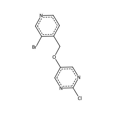 Clc1ncc(OCc2ccncc2Br)cn1